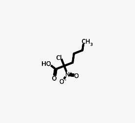 CCCCC(Cl)(C(=O)O)[N+](=O)[O-]